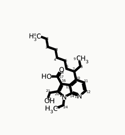 CCCCCCCC(CC)c1ccnc2c1c(C(=O)O)c(CO)n2CC